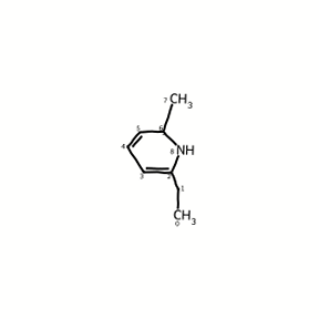 CCC1=CC=C[C](C)N1